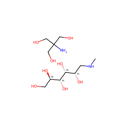 CNC[C@H](O)[C@@H](O)[C@H](O)[C@H](O)CO.NC(CO)(CO)CO